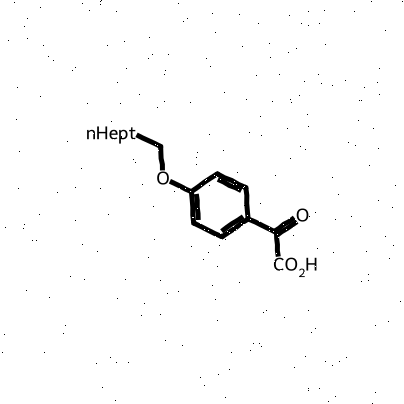 CCCCCCCCOc1ccc(C(=O)C(=O)O)cc1